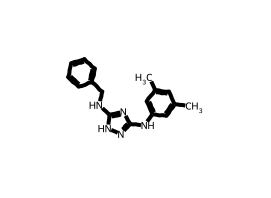 Cc1cc(C)cc(Nc2n[nH]c(NCc3ccccc3)n2)c1